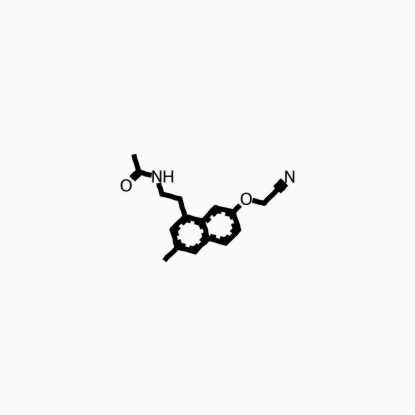 CC(=O)NCCc1cc(C)cc2ccc(OCC#N)cc12